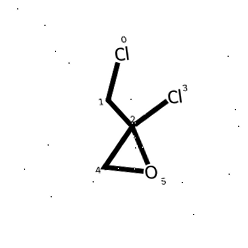 ClCC1(Cl)CO1